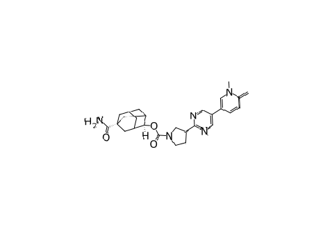 C=C1C=CC(c2cnc(C3CCN(C(=O)O[C@H]4C5CC6CC4C[C@](C(N)=O)(C6)C5)C3)nc2)=CN1C